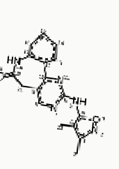 Cc1noc(Nc2ncc3c(n2)-c2ccccc2NC(=O)C3)c1C